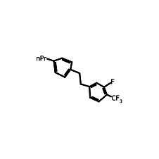 CCCc1ccc(CCc2ccc(C(F)(F)F)c(F)c2)cc1